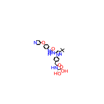 CC(C)(C)c1cc(NC(=O)Nc2ccc(Oc3ccncc3)cc2)n(-c2ccc(CC(=O)N[C@@H](CO)C(=O)O)cc2)n1